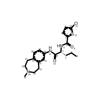 CCC[C@@H](NC(=O)c1ccc(Cl)s1)C(=O)Nc1ccc2c(c1)CCN(C)CC2